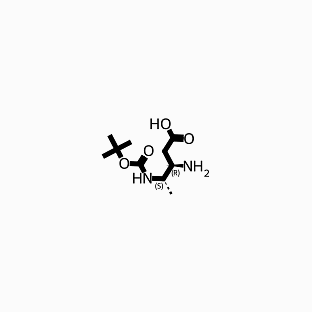 C[C@H](NC(=O)OC(C)(C)C)[C@H](N)CC(=O)O